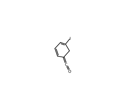 O=C=C1C=CC=C(I)C1